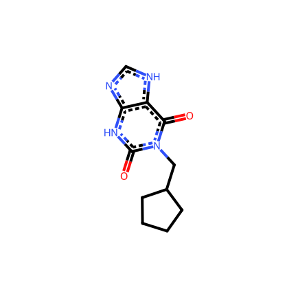 O=c1[nH]c2nc[nH]c2c(=O)n1CC1CCCC1